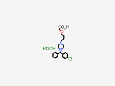 Cl.Cl.O=C(O)COC/C=C\CN1CCN([C@H](c2ccccc2)c2ccc(Cl)cc2)CC1